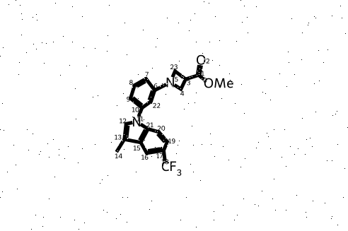 COC(=O)C1CN(c2cccc(-n3cc(C)c4cc(C(F)(F)F)ccc43)c2)C1